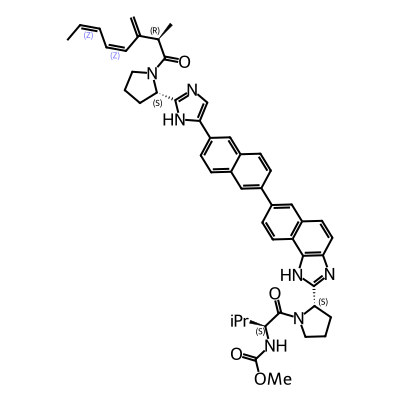 C=C(/C=C\C=C/C)[C@@H](C)C(=O)N1CCC[C@H]1c1ncc(-c2ccc3cc(-c4ccc5c(ccc6nc([C@@H]7CCCN7C(=O)[C@@H](NC(=O)OC)C(C)C)[nH]c65)c4)ccc3c2)[nH]1